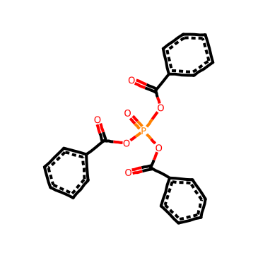 O=C(OP(=O)(OC(=O)c1ccccc1)OC(=O)c1ccccc1)c1ccccc1